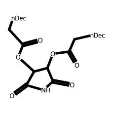 CCCCCCCCCCCC(=O)OC1C(=O)NC(=O)C1OC(=O)CCCCCCCCCCC